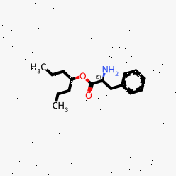 CCCC(CCC)OC(=O)[C@@H](N)Cc1ccccc1